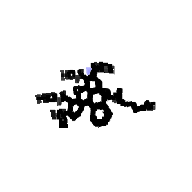 CC/N=c1\ccc2c(-c3ccccc3C(=O)N(C)CCCC(C)=O)c3ccc(NCC)c(S(=O)(=O)O)c3oc-2c1S(=O)(=O)O